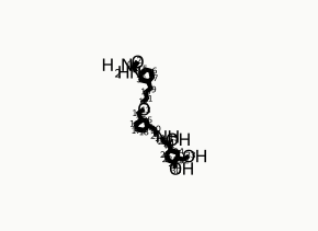 NC(=O)Nc1cccc(CCCCOCc2cccc(CCNC[C@@H](O)c3ccc(O)c(CO)c3)c2)c1